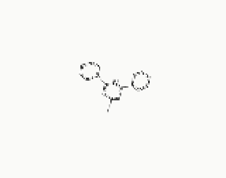 Ic1cc(-c2ccccc2)nc(-c2ccccc2)c1